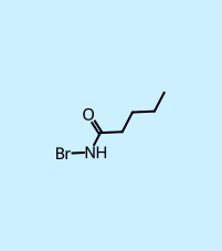 CCCCC(=O)NBr